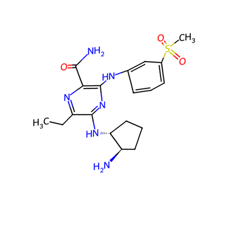 CCc1nc(C(N)=O)c(Nc2cccc(S(C)(=O)=O)c2)nc1N[C@@H]1CCC[C@H]1N